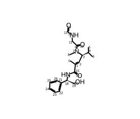 C/C(=C\[C@H](C(C)C)N(C)C(=O)CNC=O)C(=O)N[C@@H](CO)c1ccccc1